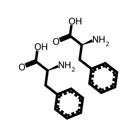 N[C@@H](Cc1ccccc1)C(=O)O.N[C@@H](Cc1ccccc1)C(=O)O